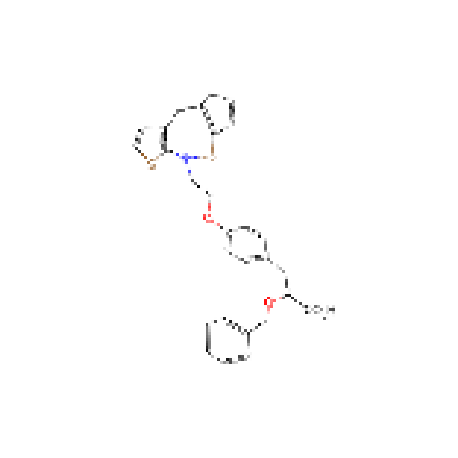 O=C(O)C(Cc1ccc(OCCN2SC3=C(CC=C3)Cc3ccsc32)cc1)OCc1ccccc1